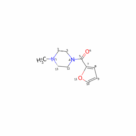 CN1CCN(C(=O)c2cc[c]o2)CC1